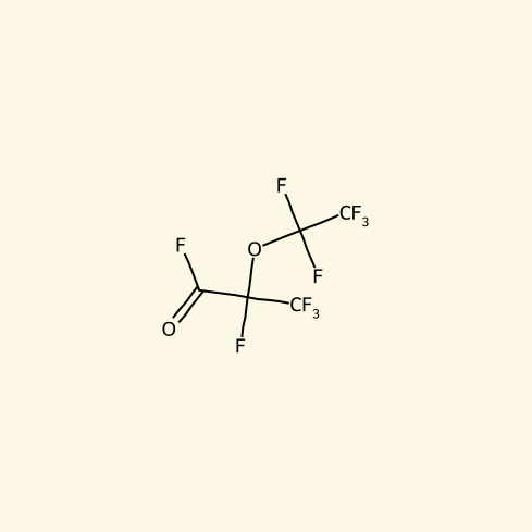 O=C(F)C(F)(OC(F)(F)C(F)(F)F)C(F)(F)F